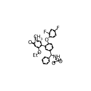 CCOc1cc(=O)n(C)cc1-c1cc(C(N[SH](=O)=O)c2ccccc2)ccc1Oc1ccc(F)cc1F